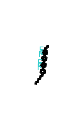 CCCCCCCC1CCC(c2ccc(-c3ccc(-c4ccc(CCC)c(F)c4F)cc3)c(F)c2F)CC1